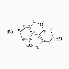 CCc1cc2c3c(c1)OCc1cc(C(C)(C)C)cc(c1-3)OC2